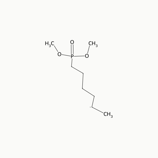 C[CH]CCCCP(=O)(OC)OC